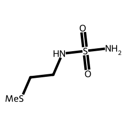 CSCCNS(N)(=O)=O